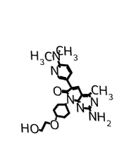 Cc1nc(N)nc2c1cc(-c1ccc(N(C)C)nc1)c(=O)n2[C@H]1CC[C@H](OCCO)CC1